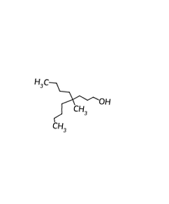 CCCCC(C)(CCCC)CCCO